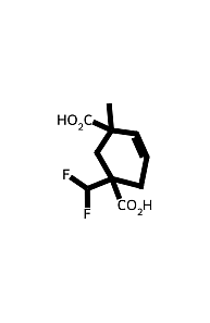 CC1(C(=O)O)C=CCC(C(=O)O)(C(F)F)C1